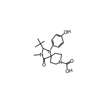 CN1C(=O)C2(CCN(C(=O)O)CC2)N(c2ccc(O)cc2)C1C(C)(C)C